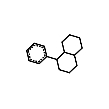 [CH]1CC2CCCCC2C(c2ccccc2)C1